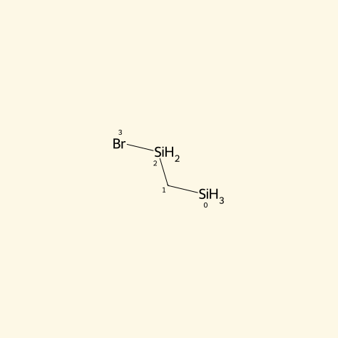 [SiH3]C[SiH2]Br